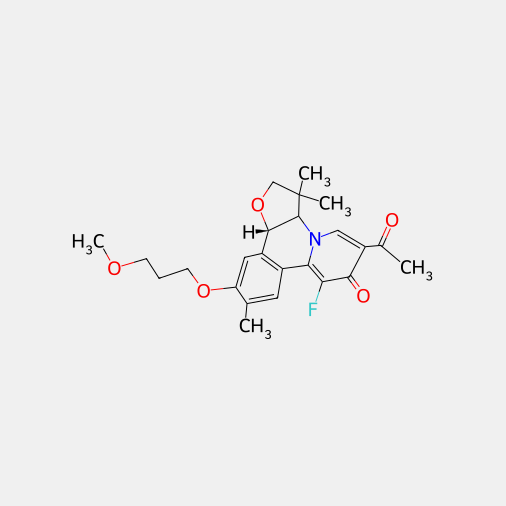 COCCCOc1cc2c(cc1C)-c1c(F)c(=O)c(C(C)=O)cn1C1[C@H]2OCC1(C)C